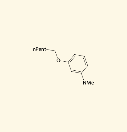 CCCCCCOc1cccc(NC)c1